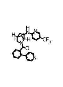 O=C(c1ccccc1-c1ccncc1)N1C[C@@H]2C[C@@H](Nc3ccc(C(F)(F)F)cn3)[C@@H]1C2